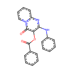 O=C(Oc1c(Nc2ccccc2)nc2ccccn2c1=O)c1ccccc1